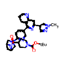 Cn1cc(-c2cc3ncccc3c(-c3ccc(N4CC5CC(C4)N5C(=O)C4CCN(C(=O)OC(C)(C)C)CC4)nc3)n2)cn1